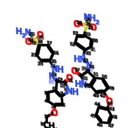 CCOc1ccc2c(c1)NC(=O)/C2=N\Nc1ccc(S(N)(=O)=O)cc1.NS(=O)(=O)c1ccc(N/N=C2\C(=O)Nc3cc(Oc4ccccc4)ccc32)cc1